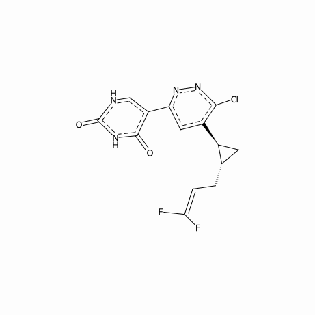 O=c1[nH]cc(-c2cc([C@H]3C[C@@H]3CC=C(F)F)c(Cl)nn2)c(=O)[nH]1